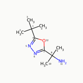 CC(C)(C)c1nnc(C(C)(C)N)o1